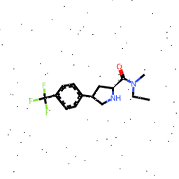 CCN(C)C(=O)[C@@H]1CC(c2ccc(C(F)(F)F)cc2)CN1